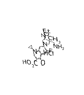 CCON=C1CN(c2cc3c(cc2F)c(=O)c(C(=O)O)cn3C2CC2)CC1(C)CN.Cl